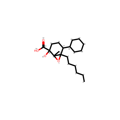 CCCCCCC12OC1(C)C([O])(C(=O)O)CCC2C1CCCCC1